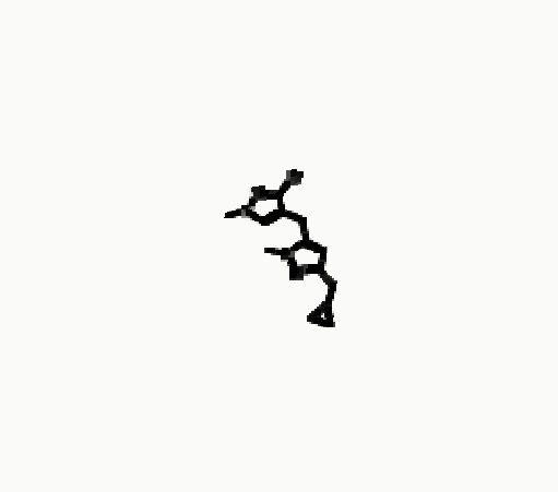 Cn1cc(Cc2cc(CC3CC3)nn2C)c(Br)n1